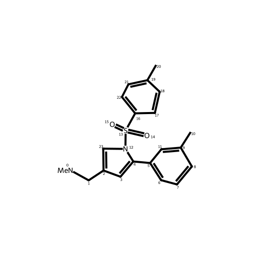 CNCc1cc(-c2cccc(C)c2)n(S(=O)(=O)c2ccc(C)cc2)c1